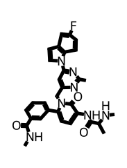 CNC(=O)c1cccc(-c2ccc(NC(=O)C(C)NC)c(=O)n2Cc2cc(-n3ccc4cc(F)ccc43)nc(C)n2)c1